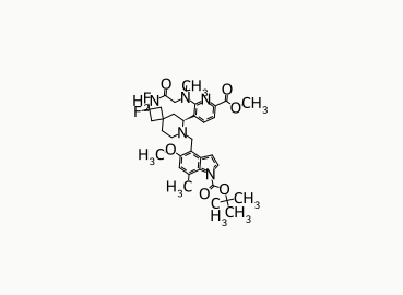 COC(=O)c1ccc([C@@H]2CC3(CCN2Cc2c(OC)cc(C)c4c2ccn4C(=O)OC(C)(C)C)CC(F)(F)C3)c(N(C)CC(N)=O)n1